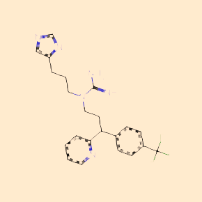 N=C(N)N(CCCc1c[nH]cn1)CCC(c1ccc(C(F)(F)F)cc1)c1ccccn1